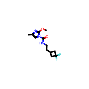 COc1nc(C)cn1C(=O)NCCC1CC(F)(F)C1